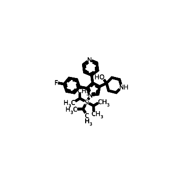 CC(C)[Si](C(C)C)(C(C)C)n1cc(C2(O)CCNCC2)c(-c2ccncc2)c1-c1ccc(F)cc1